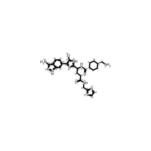 NC[C@H]1CC[C@H](C(=O)NC(CCC(=O)NCc2nccs2)c2nc(-c3ccc4c(N)n[nH]c4c3)c(Cl)[nH]2)CC1